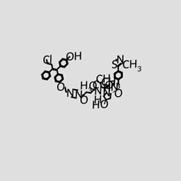 Cc1ncsc1-c1ccc(CNC(=O)[C@@H]2C[C@@H](O)CN2C(=O)C(NC(=O)CCC(=O)N2CCN(CCOc3ccc(C(=C(CCCl)c4ccccc4)c4ccc(O)cc4)cc3)CC2)C(C)(C)C)cc1